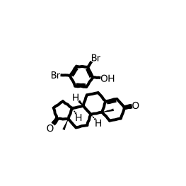 C[C@]12CCC(=O)C=C1CC[C@@H]1[C@@H]2CC[C@]2(C)C(=O)CC[C@@H]12.Oc1ccc(Br)cc1Br